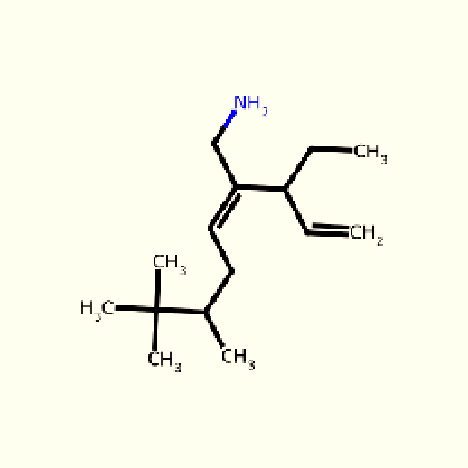 C=CC(CC)/C(=C\CC(C)C(C)(C)C)CN